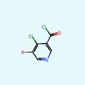 O=C(Cl)c1cncc(Br)c1Cl